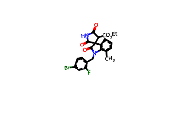 CCOC(=O)C1C(=O)NC(=O)C12C(=O)N(Cc1ccc(Br)cc1F)c1c(C)cccc12